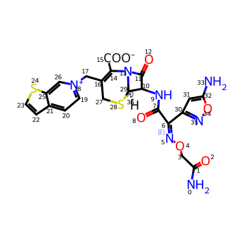 NC(=O)CO/N=C(/C(=O)NC1C(=O)N2C(C(=O)[O-])=C(C[n+]3ccc4ccsc4c3)CS[C@H]12)c1cc(N)on1